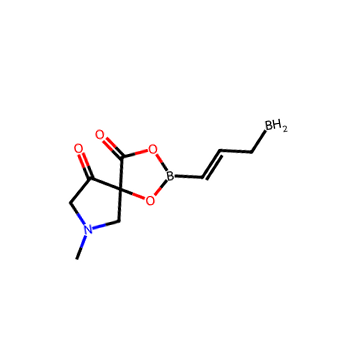 BC/C=C/B1OC(=O)C2(CN(C)CC2=O)O1